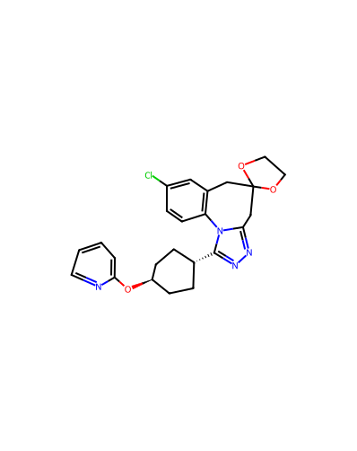 Clc1ccc2c(c1)CC1(Cc3nnc([C@H]4CC[C@H](Oc5ccccn5)CC4)n3-2)OCCO1